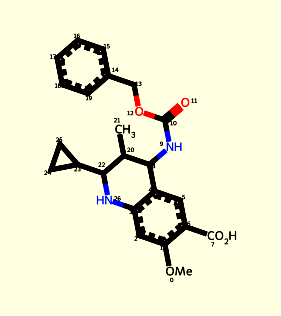 COc1cc2c(cc1C(=O)O)C(NC(=O)OCc1ccccc1)C(C)C(C1CC1)N2